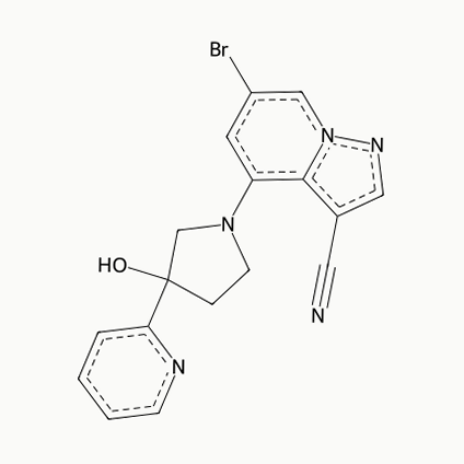 N#Cc1cnn2cc(Br)cc(N3CCC(O)(c4ccccn4)C3)c12